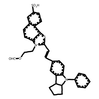 O=COCC[n+]1c(/C=C/c2ccc3c(c2)C2CCCC2N3c2ccccc2)sc2c3ccc(S(=O)(=O)O)cc3ccc21